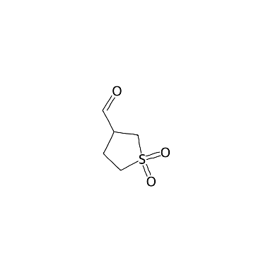 O=CC1CCS(=O)(=O)C1